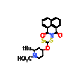 CC(C)(C)C1CC(OC(=S)SN2C(=O)c3cccc4cccc(c34)C2=O)CCN1C(=O)O